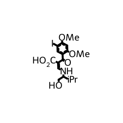 COc1cc(OC)c(C(=O)/C(=C\NC(CO)C(C)C)C(=O)O)cc1I